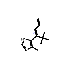 C=C/C=C(/c1[nH]nnc1C)C(C)(C)C